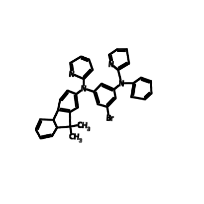 CC1(C)c2cc(N(c3cc(Br)cc(N(c4ccccc4)c4ccccn4)c3)c3ccccn3)ccc2C2C=CC=CC21